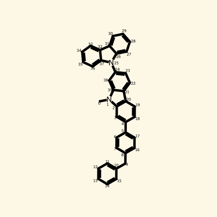 Cn1c2cc(-c3ccc(Cc4ccccc4)cc3)ccc2c2ccc(-n3c4ccccc4c4ccccc43)cc21